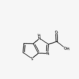 O=C(O)c1nc2sccc2[nH]1